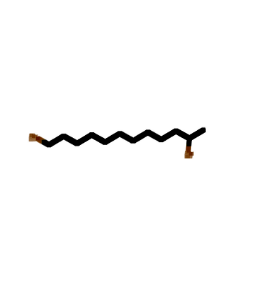 CC(Br)CCCCCCCCCCBr